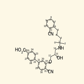 CC(C)(CCCc1ccccc1C#N)NCC(O)COc1cc(-c2ccc(C(=O)O)cc2)ccc1C#N